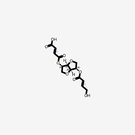 O=C(O)/C=C/C(=O)O[C@@H]1CO[C@H]2[C@@H]1OC[C@H]2OC(=O)/C=C/CO